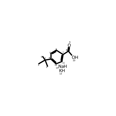 CC(C)(C)c1ccc(C(=O)O)cc1.[KH].[NaH]